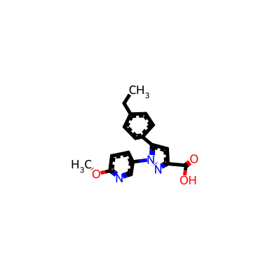 CCc1ccc(-c2cc(C(=O)O)nn2-c2ccc(OC)nc2)cc1